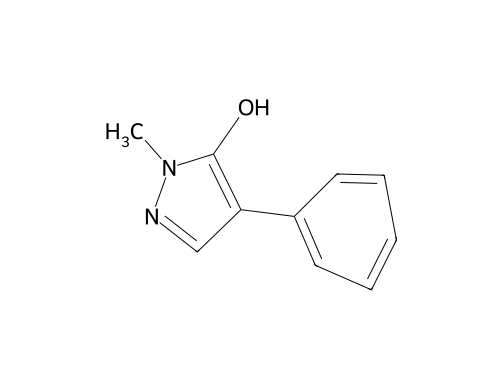 Cn1ncc(-c2ccccc2)c1O